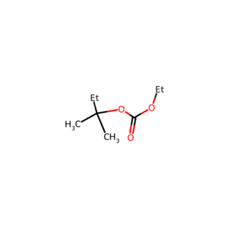 CCOC(=O)OC(C)(C)CC